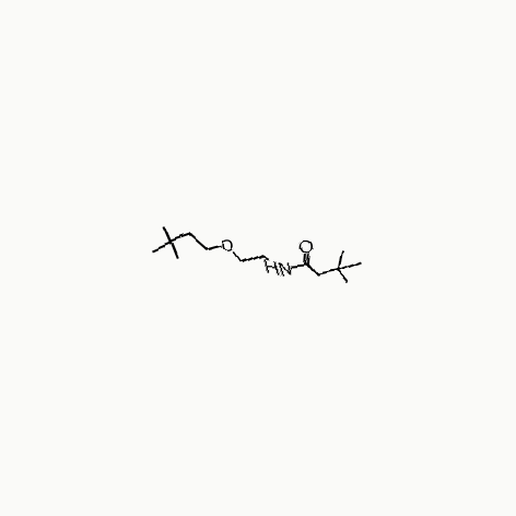 CC(C)(C)CCOCCNC(=O)CC(C)(C)C